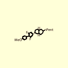 CCCCCC1CC[C@@H]2C[C@H](c3cc(F)c(-c4ccc(OC)cc4)c(F)c3)CC[C@@H]2C1